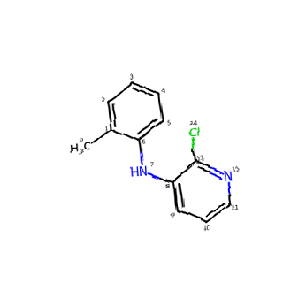 Cc1ccccc1Nc1cccnc1Cl